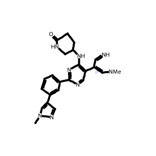 CN/C=C(\C=N)c1cnc(-c2cccc(-c3cnn(C)c3)c2)nc1NC1CCC(=O)NC1